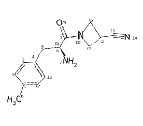 Cc1ccc(C[C@H](N)C(=O)N2CC(C#N)C2)cc1